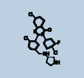 O=c1c2ccc(Cl)cc2nc(-c2cc(CNC3CCNC3)ccc2Cl)n1-c1ccc(Cl)c(F)c1